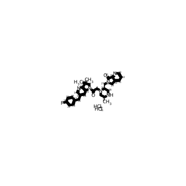 C[C@@H]1CN(CC(=O)N2CC(C)(C)c3ncc(Cc4ccc(F)cc4)cc32)[C@@H](CN2Cc3cccnc3C2=O)CN1.Cl.Cl